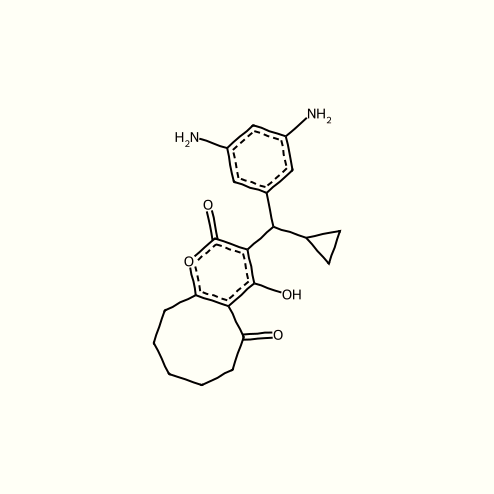 Nc1cc(N)cc(C(c2c(O)c3c(oc2=O)CCCCCC3=O)C2CC2)c1